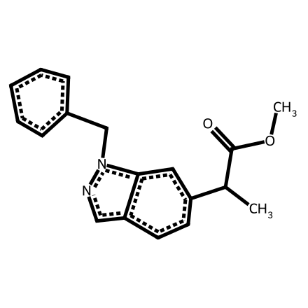 COC(=O)C(C)c1ccc2cnn(Cc3ccccc3)c2c1